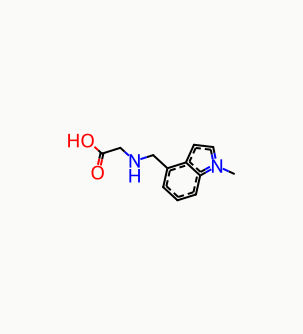 Cn1ccc2c(CNCC(=O)O)cccc21